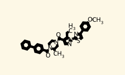 CCc1c(C(=O)N2CCN(C(=O)c3ccc(-c4ccccc4)cc3)C(C)C2)cnn1-c1nc(-c2ccc(OC)cc2)cs1